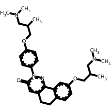 CC(COc1ccc(-n2nc3c(cc2=O)CCc2ccc(OCC(C)CN(C)C)cc2-3)cc1)CN(C)C